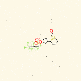 O=CC[S+]1CCCCC1C1CCCC1.O=S(=O)([O-])C(F)(F)C(F)(F)C(F)(F)C(F)(F)F